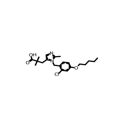 CCCCCOc1ccc(Cn2c(CC(C)(C)C(=O)O)cnc2C)c(Cl)c1